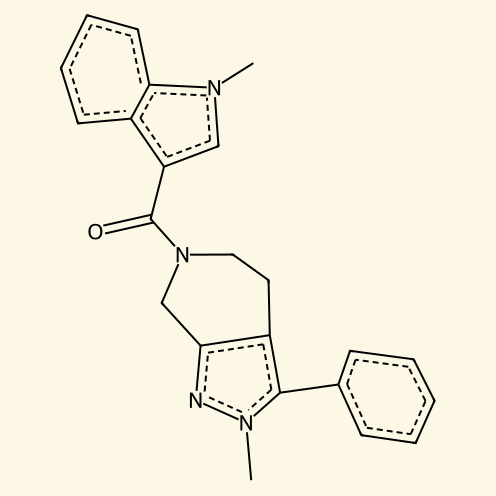 Cn1nc2c(c1-c1ccccc1)CCN(C(=O)c1cn(C)c3ccccc13)C2